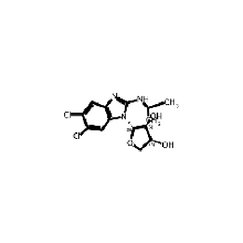 CC(C)Nc1nc2cc(Cl)c(Cl)cc2n1[C@H]1OC[C@H](O)[C@@H]1O